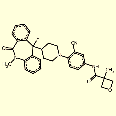 CN1C(=O)c2ccccc2C(F)(C2CCN(c3ccc(NC(=O)C4(C)COC4)cc3C#N)CC2)c2ccccc21